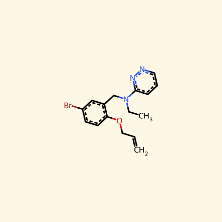 C=CCOc1ccc(Br)cc1CN(CC)c1cccnn1